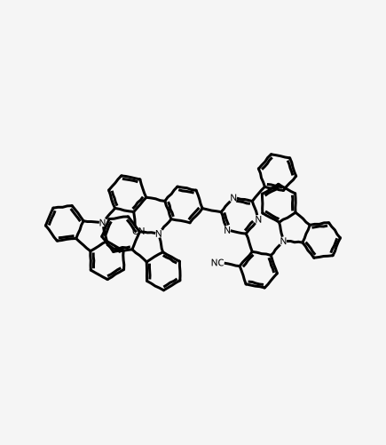 N#Cc1cccc(-n2c3ccccc3c3ccccc32)c1-c1nc(-c2ccccc2)nc(-c2ccc(-c3cccc(-n4c5ccccc5c5ccccc54)c3C#N)c(-n3c4ccccc4c4ccccc43)c2)n1